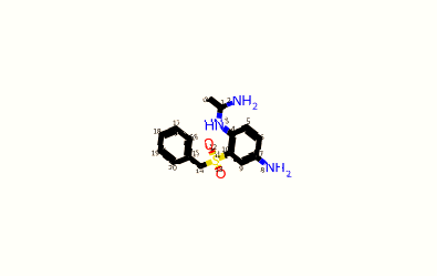 CC(N)Nc1ccc(N)cc1S(=O)(=O)Cc1ccccc1